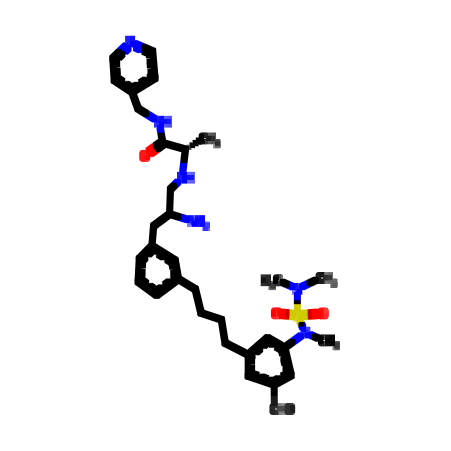 C[C@H](NCC(N)Cc1cccc(CCCCc2cc(C=O)cc(N(C)S(=O)(=O)N(C)C)c2)c1)C(=O)NCc1ccncc1